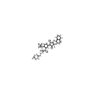 CN1CCN(CCCNC(=O)c2cc(N3C(=O)N(Cc4ccnc5ccccc45)C(C)(C)C3=O)ccc2OC(F)(F)F)CC1